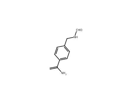 C=C(N)c1ccc(CNC=O)cc1